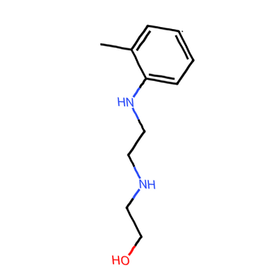 Cc1c[c]ccc1NCCNCCO